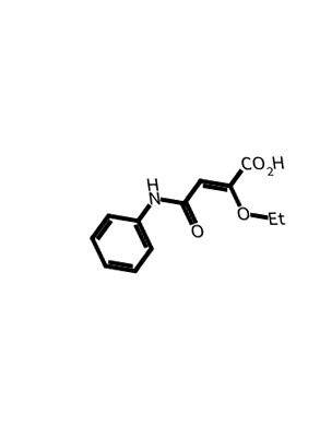 CCOC(=CC(=O)Nc1ccccc1)C(=O)O